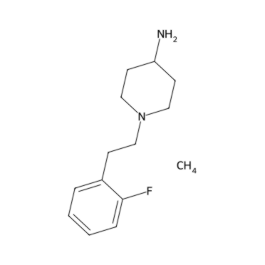 C.NC1CCN(CCc2ccccc2F)CC1